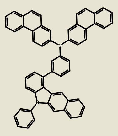 c1ccc(-n2c3cc4ccccc4cc3c3c(-c4cccc(N(c5ccc6c(ccc7ccccc76)c5)c5ccc6c(ccc7ccccc76)c5)c4)cccc32)cc1